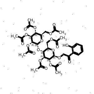 CC(=O)OC[C@H]1O[C@H](O[C@H]2[C@H](OC(C)=O)[C@@H](OC(C)=O)[C@H](OCC(=O)c3ccccc3O)O[C@@H]2COC(C)=O)[C@H](OC(C)=O)[C@@H](OC(C)=O)[C@@H]1OC(C)=O